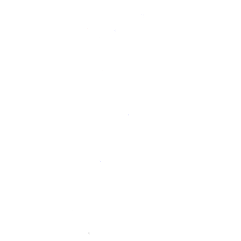 CC(C)c1ccc(CNC(=O)[C@H]2CCCN(c3cccc(OC(C)(C)C(=O)N4CCN(C(=O)O)CC4)c3)C2)cc1